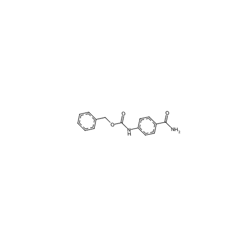 NC(=O)c1ccc(NC(=O)OCc2ccccc2)cc1